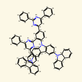 C1=CC2c3ccccc3N(c3ccc4c(c3)c3cc(-n5c6ccccc6c6ccccc65)ccc3n4-c3ccc(-c4cc(-c5ccccc5)nc(-c5ccccc5)n4)cc3-c3nc(-c4ccccc4)cc(-c4ccccc4)n3)C2C=C1